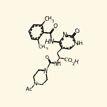 CC(=O)N1CCN(C(=O)NC(Cc2c[nH]c(=O)nc2NC(=O)c2c(C)cccc2C)C(=O)O)CC1